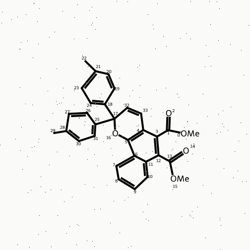 COC(=O)c1c2c(c3ccccc3c1C(=O)OC)OC(c1ccc(C)cc1)(c1ccc(C)cc1)C=C2